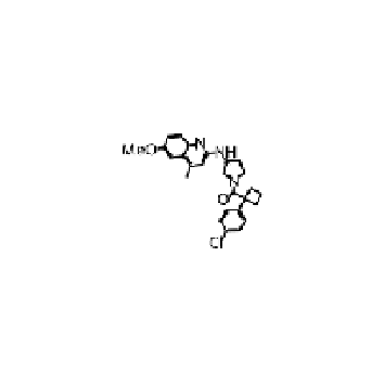 COc1ccc2nc(N[C@H]3CCN(C(=O)C4(c5ccc(Cl)cc5)CCC4)C3)cc(C)c2c1